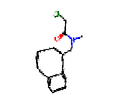 CN(CC1CCCc2ccccc21)C(=O)CCl